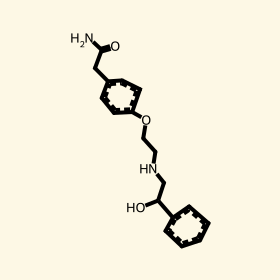 NC(=O)Cc1ccc(OCCNCC(O)c2ccccc2)cc1